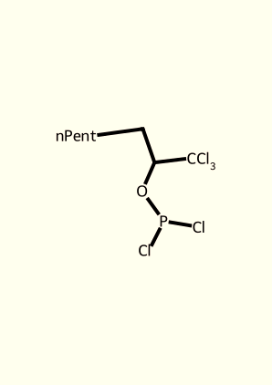 CCCCCCC(OP(Cl)Cl)C(Cl)(Cl)Cl